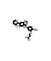 CCNCCOc1cc(Nc2ncnc3cc(-c4ncccc4C(F)(F)F)ccc23)ccc1C(C)(C)C